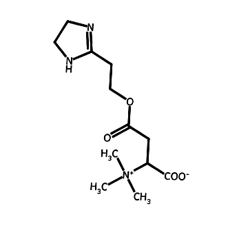 C[N+](C)(C)C(CC(=O)OCCC1=NCCN1)C(=O)[O-]